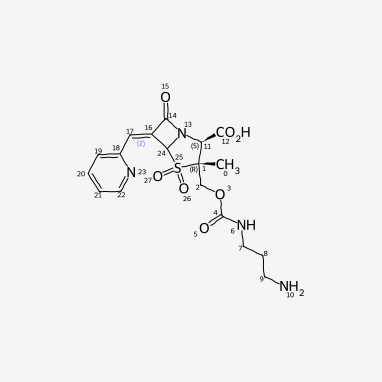 C[C@]1(COC(=O)NCCCN)[C@H](C(=O)O)N2C(=O)/C(=C/c3ccccn3)C2S1(=O)=O